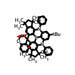 CC(C)(C)c1cc2c3c(c1)N(c1ccccc1)c1c4c(cc5c1C(C)(C)CC5(C)C)C1(c5ccccc5Oc5ccccc51)c1cc5c(c(c1B34)N2c1ccccc1)C(C)(C)CC5(C)C